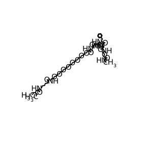 CCC(CC)CC(=O)NCCCCCC(=O)NCCOCCOCCOCCOCCOCCOCCOCCOCC(=O)NCC(=O)NCC(=O)N[C@@H](Cc1ccccc1)C(=O)NCC(=O)NCOCC(=O)NC